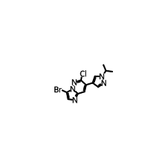 CC(C)n1cc(-c2cc3ncc(Br)n3nc2Cl)cn1